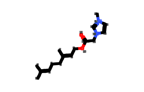 CC(C)=CCC/C(C)=C/COC(=O)Cn1cc[n+](C)c1